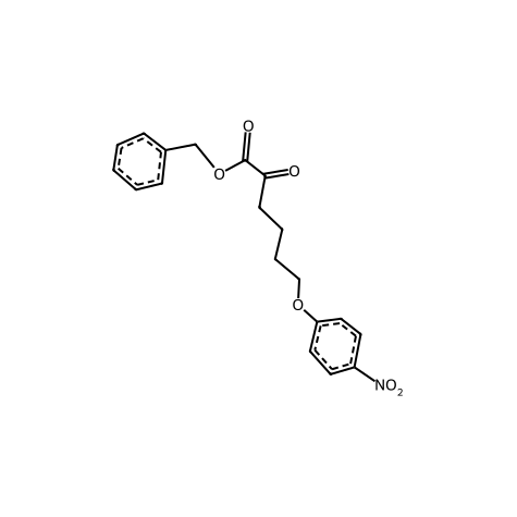 O=C(CCCCOc1ccc([N+](=O)[O-])cc1)C(=O)OCc1ccccc1